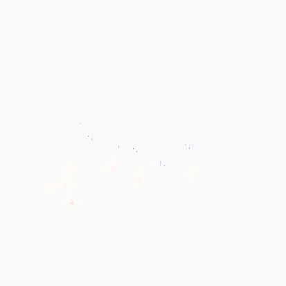 O=C(Nc1ccn([C@H]2CN(C(c3ccccc3)(c3ccccc3)c3ccccc3)C[C@@H](CP(=O)(O)O)O2)c(=O)n1)c1ccccc1